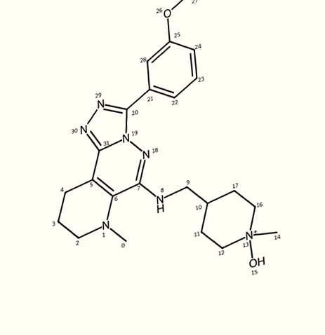 CN1CCCc2c1c(NCC1CC[N+](C)(O)CC1)nn1c(-c3cccc(OC(F)(F)F)c3)nnc21